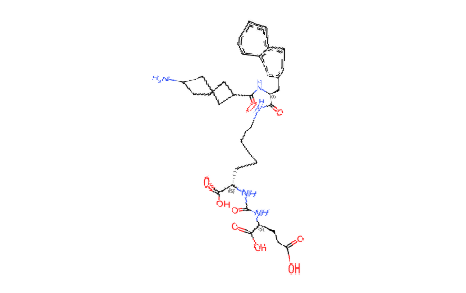 NC1CC2(C1)CC(C(=O)N[C@@H](Cc1ccc3ccccc3c1)C(=O)NCCCC[C@H](NC(=O)N[C@@H](CCC(=O)O)C(=O)O)C(=O)O)C2